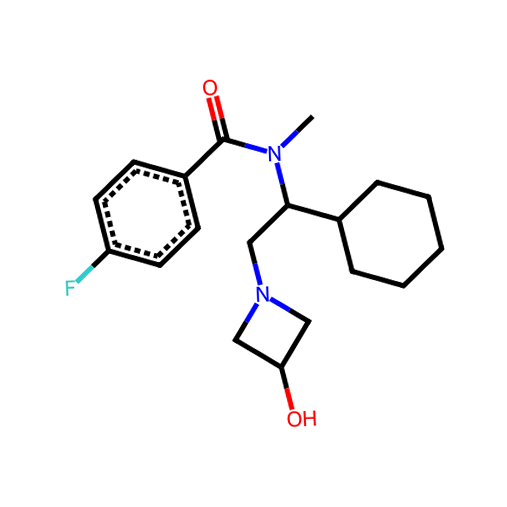 CN(C(=O)c1ccc(F)cc1)C(CN1CC(O)C1)C1CCCCC1